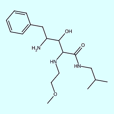 COCCNC(C(=O)NCC(C)C)C(O)C(N)Cc1ccccc1